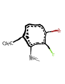 CC(=O)Nc1c(C=O)ccc(Br)c1F